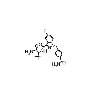 CC(C)(C)C(NC(=O)c1nn(Cc2ccc(C(N)=O)cc2)c2ccc(F)cc12)C(N)=O